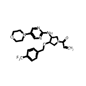 C=CC(=O)N1CC(Nc2ncc(N3CCOCC3)cn2)C(OCc2ccc(C(F)(F)F)cc2)C1